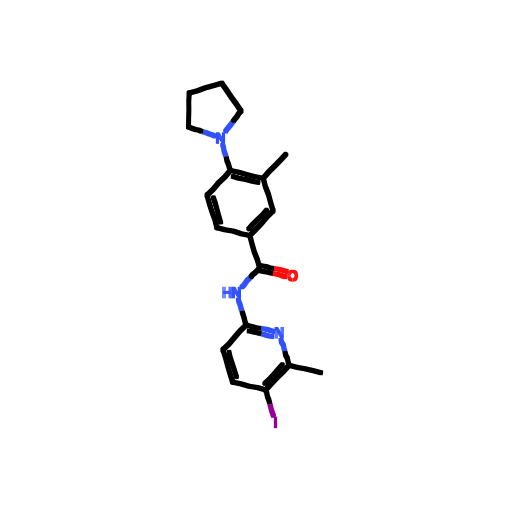 Cc1cc(C(=O)Nc2ccc(I)c(C)n2)ccc1N1CCCC1